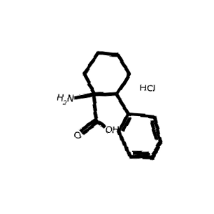 Cl.NC1(C(=O)O)CCCCC1c1ccccc1